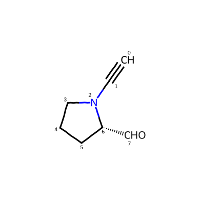 C#CN1CCC[C@H]1C=O